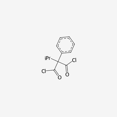 CC(C)C(C(=O)Cl)(C(=O)Cl)c1ccccc1